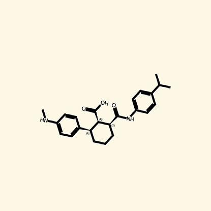 CNc1ccc([C@@H]2CCC[C@H](C(=O)Nc3ccc(C(C)C)cc3)[C@@H]2C(=O)O)cc1